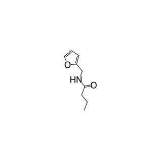 CCCC(=O)NCc1ccco1